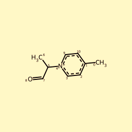 Cc1cc[n+](C(C)C=O)cc1